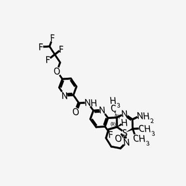 CC1(C)C(N)=N[C@](C)(c2nc(NC(=O)c3ccc(OCC(F)(F)C(F)F)cn3)ccc2F)[C@H]2CCCCN=[S@]21=O